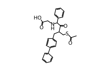 CC(=O)SCC(Cc1ccc(-c2ccccc2)cc1)C(=O)C(NCC(=O)O)c1ccccc1